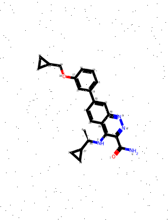 C[C@@H](Nc1c(C(N)=O)nnc2cc(-c3cccc(OCC4CC4)c3)ccc12)C1CC1